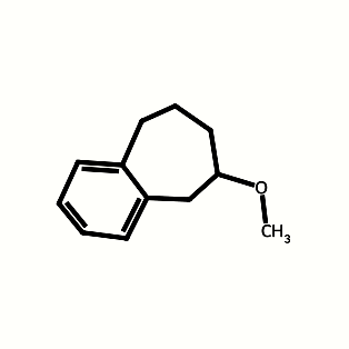 COC1CCCc2ccccc2C1